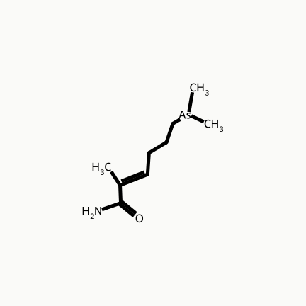 C/C(=C\CCC[As](C)C)C(N)=O